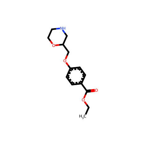 CCOC(=O)c1ccc(OCC2CNCCO2)cc1